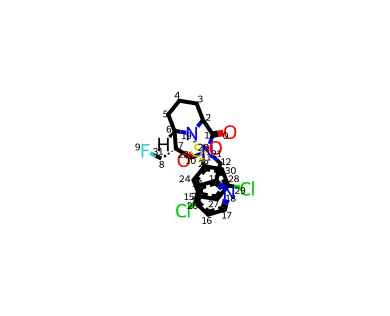 O=C1C2CCC[C@@H]([C@@H](CF)CN1Cc1ccccn1)N2S(=O)(=O)c1cc(Cl)cc(Cl)c1